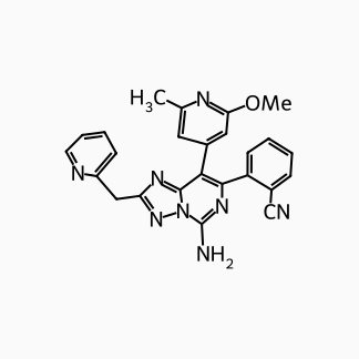 COc1cc(-c2c(-c3ccccc3C#N)nc(N)n3nc(Cc4ccccn4)nc23)cc(C)n1